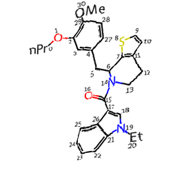 CCCOc1cc(CC2c3sccc3CCN2C(=O)c2cn(CC)c3ccccc23)ccc1OC